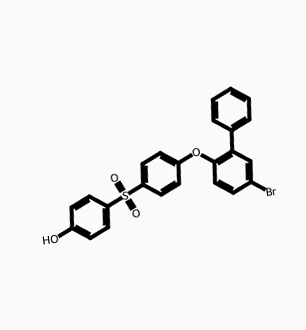 O=S(=O)(c1ccc(O)cc1)c1ccc(Oc2ccc(Br)cc2-c2ccccc2)cc1